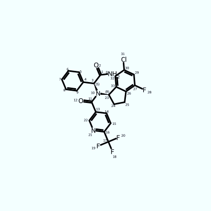 NC(=O)[C@H](c1ccccc1)N(C(=O)c1ccc(C(F)(F)F)nc1)[C@@H]1CCc2c(F)cc(Cl)cc21